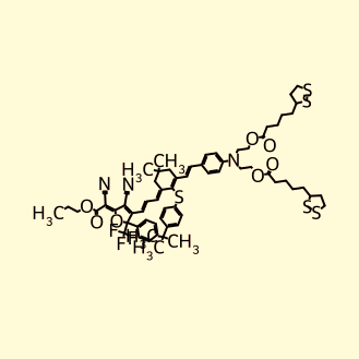 CCCOC(=O)/C(C#N)=C1\OC(c2ccccc2)(C(F)(F)F)C(/C=C/C=C2\CC(C)(C)CC(/C=C/c3ccc(N(CCOC(=O)CCCCC4CCSS4)CCOC(=O)CCCCC4CCSS4)cc3)=C2Sc2ccc(C(C)(C)C)cc2)=C1C#N